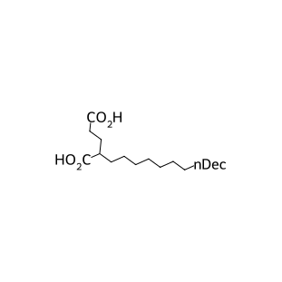 CCCCCCCCCCCCCCCCCC(CCC(=O)O)C(=O)O